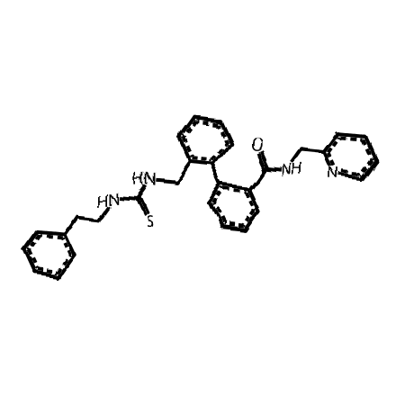 O=C(NCc1ccccn1)c1ccccc1-c1ccccc1CNC(=S)NCCc1ccccc1